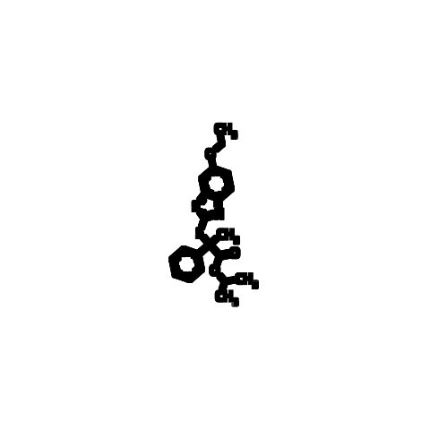 CCOc1ccc2nc(SC(C)(C(=O)OC(C)C)c3ccccc3)sc2c1